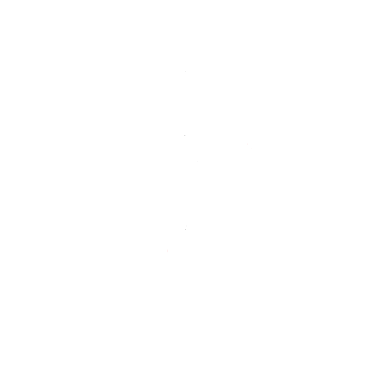 CCOC(=O)CC(C(=O)OCC)C1(C2CCCCC2)CCCC1